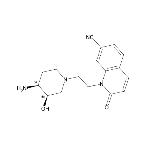 N#Cc1ccc2ccc(=O)n(CCN3CC[C@H](N)[C@H](O)C3)c2c1